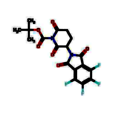 CC(C)(C)OC(=O)N1C(=O)CCC(N2C(=O)c3c(F)c(F)c(F)c(F)c3C2=O)C1=O